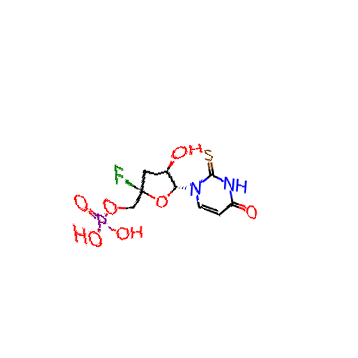 O=c1ccn([C@@H]2O[C@](F)(COP(=O)(O)O)C[C@H]2O)c(=S)[nH]1